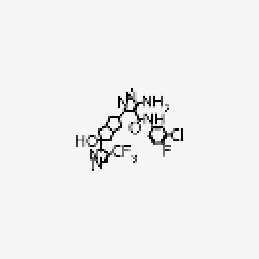 Cn1cc(C(F)(F)F)c(C2(O)CC3CC(c4nn(C)c(N)c4C(=O)Nc4ccc(F)c(Cl)c4)CC3C2)n1